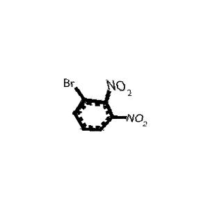 O=[N+]([O-])c1[c][c]cc(Br)c1[N+](=O)[O-]